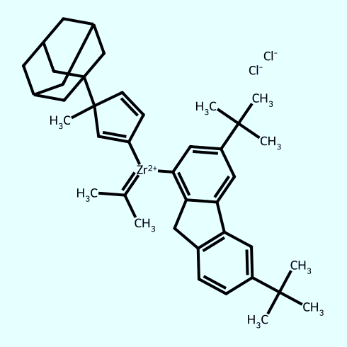 C[C](C)=[Zr+2]([C]1=CC(C)(C23CC4CC(CC(C4)C2)C3)C=C1)[c]1cc(C(C)(C)C)cc2c1Cc1ccc(C(C)(C)C)cc1-2.[Cl-].[Cl-]